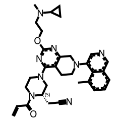 C=CC(=O)N1CCN(c2nc(OCCN(C)C3CC3)nc3c2CCN(c2cncc4cccc(C)c24)C3)C[C@@H]1CC#N